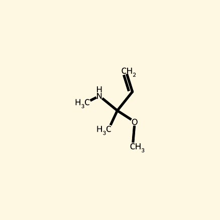 C=CC(C)(NC)OC